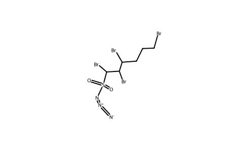 [N-]=[N+]=NS(=O)(=O)C(Br)C(Br)C(Br)CCCBr